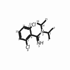 CC(C)N(C(=N)c1c(Cl)cccc1Cl)C(C)C